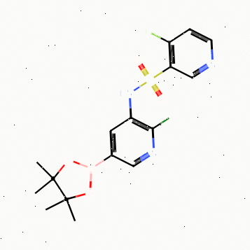 CC1(C)OB(c2cnc(Cl)c(NS(=O)(=O)c3cnccc3F)c2)OC1(C)C